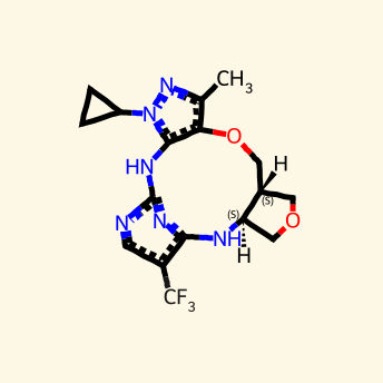 Cc1nn(C2CC2)c2c1OC[C@@H]1COC[C@H]1Nc1nc(ncc1C(F)(F)F)N2